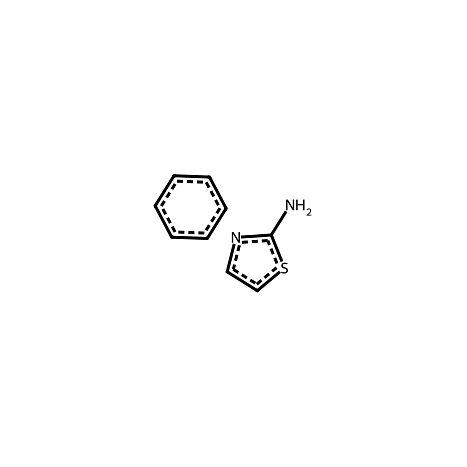 Nc1nccs1.c1ccccc1